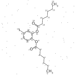 CCCCCCC(=O)Oc1ccc(I)cc1OC(=O)CCCCCC